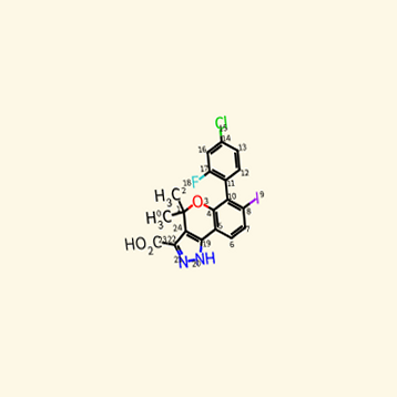 CC1(C)Oc2c(ccc(I)c2-c2ccc(Cl)cc2F)-c2[nH]nc(C(=O)O)c21